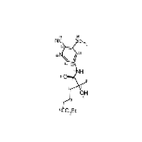 CCOC(=O)CCCC(C)(O)C(=O)Nc1cnc(C#N)c([Se]C)c1